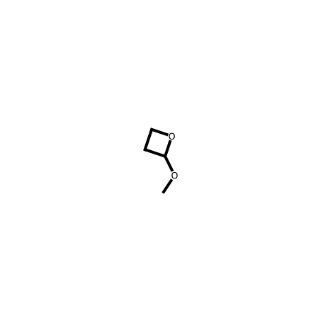 COC1CCO1